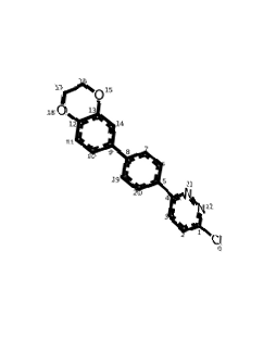 Clc1ccc(-c2ccc(-c3ccc4c(c3)OCCO4)cc2)nn1